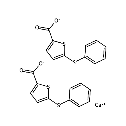 O=C([O-])c1ccc(Sc2ccccc2)s1.O=C([O-])c1ccc(Sc2ccccc2)s1.[Ca+2]